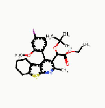 CCOC(=O)C(OC(C)(C)C)c1c(C)nc2sc3c(c2c1-c1ccc(I)cc1OC)CCCC3